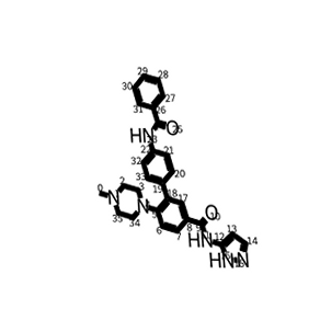 CN1CCN(c2ccc(C(=O)Nc3ccn[nH]3)cc2-c2ccc(NC(=O)c3ccccc3)cc2)CC1